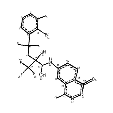 Cc1cccc(C(C)(C)CC(O)(C(O)Nc2ccc3c(=O)onc(C)c3c2)C(F)(F)F)c1Br